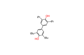 CC(C)c1cc(-c2cc(C(C)(C)C)c(O)c(C(C)(C)C)c2)cc(C(C)C)c1O